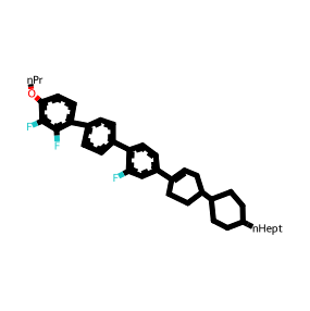 CCCCCCCC1CCC(C2CC=C(c3ccc(-c4ccc(-c5ccc(OCCC)c(F)c5F)cc4)c(F)c3)CC2)CC1